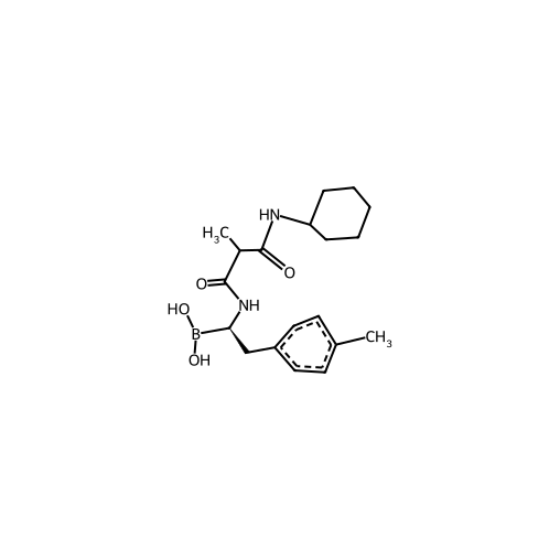 Cc1ccc(C[C@H](NC(=O)C(C)C(=O)NC2CCCCC2)B(O)O)cc1